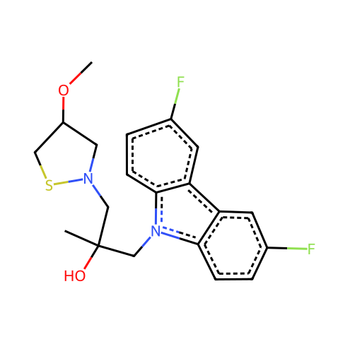 COC1CSN(CC(C)(O)Cn2c3ccc(F)cc3c3cc(F)ccc32)C1